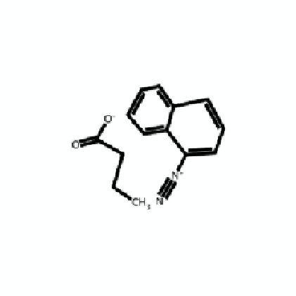 CCCC(=O)[O-].N#[N+]c1cccc2ccccc12